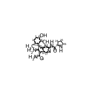 Cc1ccc(O)c(C)c1-n1c(N)c(C(N)=O)c2cnc(NC(=O)[C@@H]3CCCN3)nc21